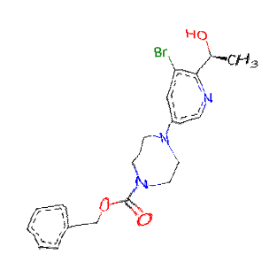 C[C@H](O)c1ncc(N2CCN(C(=O)OCc3ccccc3)CC2)cc1Br